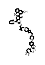 CCc1cccc2cc(O)cc(-c3ncc4c(N5CC6CCC(C5)N6)nc(OCC5(CN6CCC7(CC6)CC(CN6CCN(c8ccc9c(c8)oc(=O)n9C8CCC(=O)NC8=O)CC6)C7)CC5)nc4c3F)c12